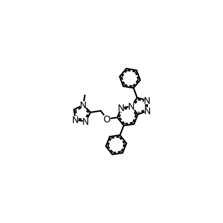 Cn1cnnc1COc1nn2c(-c3ccccc3)nnc2cc1-c1ccccc1